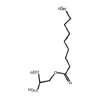 CCCCCCCCCCCCCCCCCC(=O)OCC(CCCCCCCC)CCCCCCCC